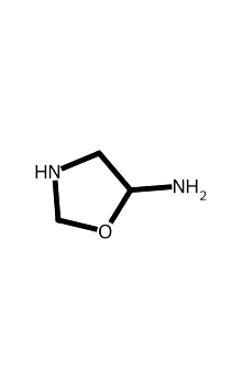 NC1CNCO1